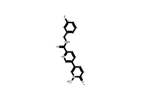 Cn1cc(-c2ccc(C(=O)NCc3cccc(F)c3)nc2)ccc1=O